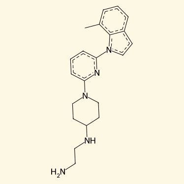 Cc1cccc2ccn(-c3cccc(N4CCC(NCCN)CC4)n3)c12